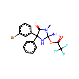 CN1C(=O)C(c2ccccc2)(c2cccc(Br)c2)NC1(N)OC(=O)C(F)(F)F